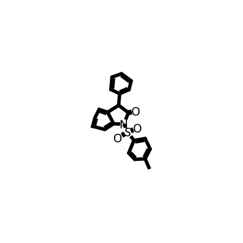 Cc1ccc(S(=O)(=O)N2C(=O)C(c3ccccc3)c3ccccc32)cc1